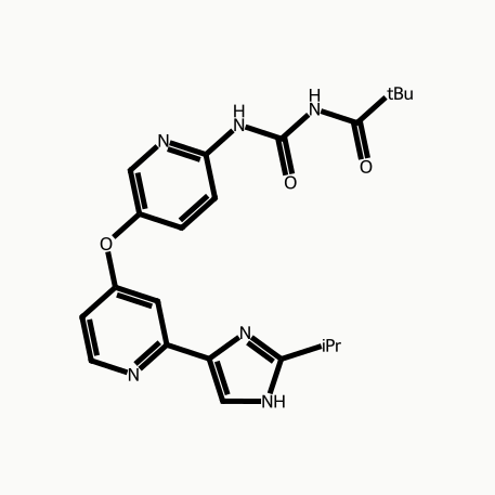 CC(C)c1nc(-c2cc(Oc3ccc(NC(=O)NC(=O)C(C)(C)C)nc3)ccn2)c[nH]1